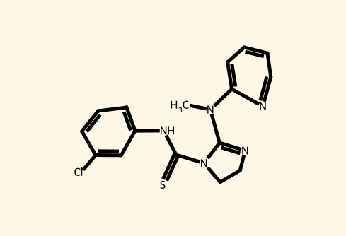 CN(C1=NCCN1C(=S)Nc1cccc(Cl)c1)c1ccccn1